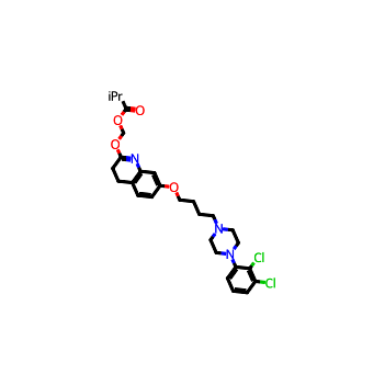 CC(C)C(=O)OCOC1=Nc2cc(OCCCCN3CCN(c4cccc(Cl)c4Cl)CC3)ccc2CC1